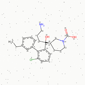 CCc1cccc(-c2c(Cl)cccc2C(O)(CCCN)[C@@H]2CCCN(C(=O)O)C2)c1